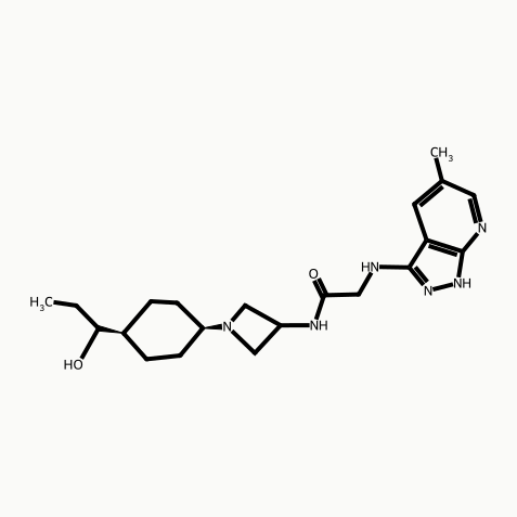 CCC(O)[C@H]1CC[C@@H](N2CC(NC(=O)CNc3n[nH]c4ncc(C)cc34)C2)CC1